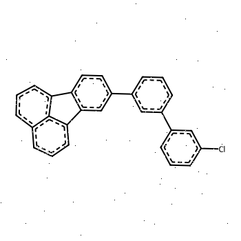 Clc1cccc(-c2cccc(-c3ccc4c(c3)-c3cccc5cccc-4c35)c2)c1